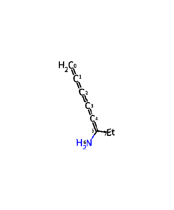 C=C=C=C=C=C(N)CC